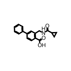 O=C(O)c1ccc(-c2ccccc2)cc1CNC(=O)C1CC1